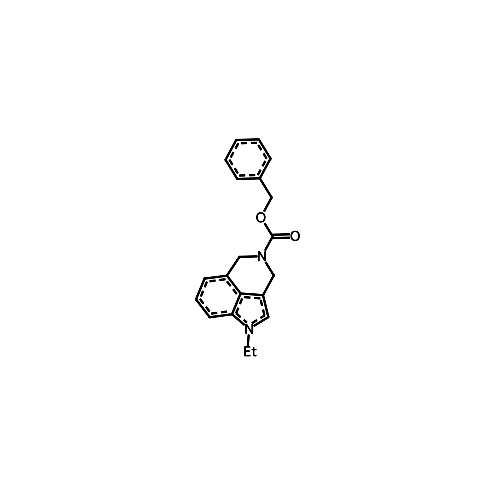 CCn1cc2c3c(cccc31)CN(C(=O)OCc1ccccc1)C2